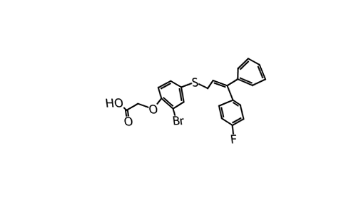 O=C(O)COc1ccc(SC/C=C(/c2ccccc2)c2ccc(F)cc2)cc1Br